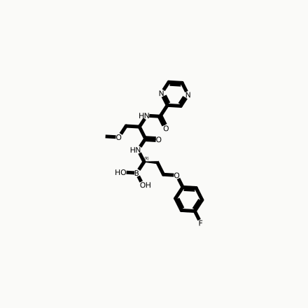 COCC(NC(=O)c1cnccn1)C(=O)N[C@@H](CCOc1ccc(F)cc1)B(O)O